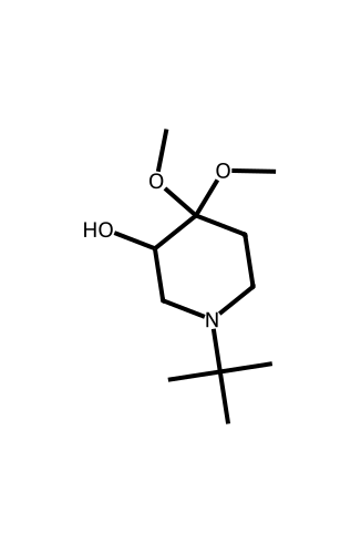 COC1(OC)CCN(C(C)(C)C)CC1O